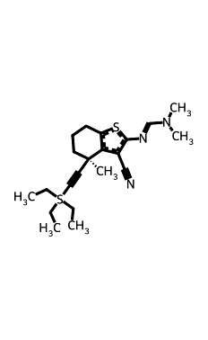 CCS(C#C[C@@]1(C)CCCc2sc(/N=C/N(C)C)c(C#N)c21)(CC)CC